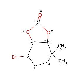 CC1(C)CCC(Br)c2oc(=O)oc21